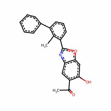 CC(=O)c1cc2nc(-c3cccc(-c4ccccc4)c3C)oc2cc1O